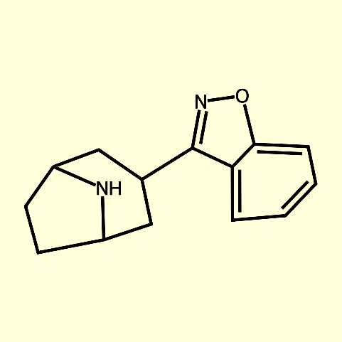 c1ccc2c(C3CC4CCC(C3)N4)noc2c1